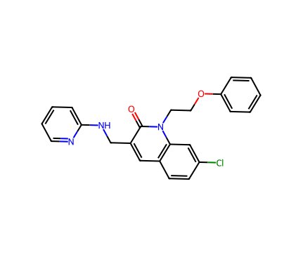 O=c1c(CNc2ccccn2)cc2ccc(Cl)cc2n1CCOc1ccccc1